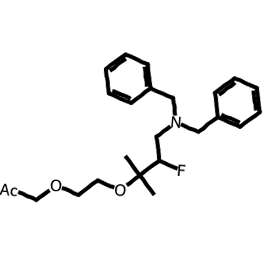 CC(=O)COCCOC(C)(C)C(F)CN(Cc1ccccc1)Cc1ccccc1